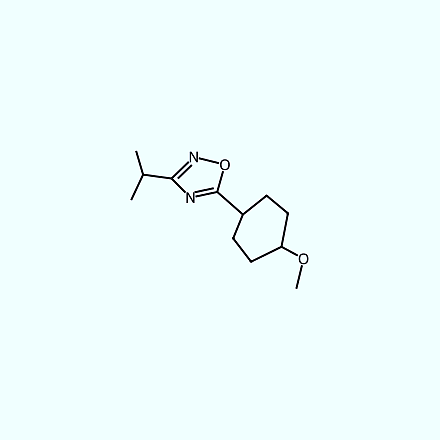 COC1CCC(c2nc(C(C)C)no2)CC1